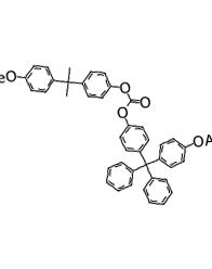 COc1ccc(C(C)(C)c2ccc(OC(=O)Oc3ccc(C(c4ccccc4)(c4ccccc4)c4ccc(OC(C)=O)cc4)cc3)cc2)cc1